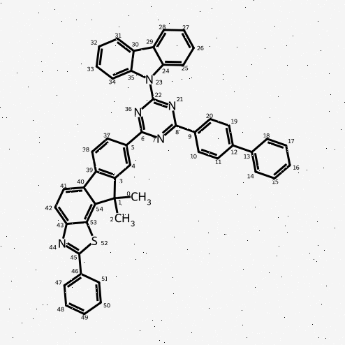 CC1(C)c2cc(-c3nc(-c4ccc(-c5ccccc5)cc4)nc(-n4c5ccccc5c5ccccc54)n3)ccc2-c2ccc3nc(-c4ccccc4)sc3c21